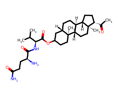 CC(=O)[C@H]1CC[C@H]2[C@@H]3CC[C@H]4CC(OC(=O)[C@@H](NC(=O)[C@@H](N)CCC(N)=O)C(C)C)CC[C@]4(C)[C@H]3CC[C@]12C